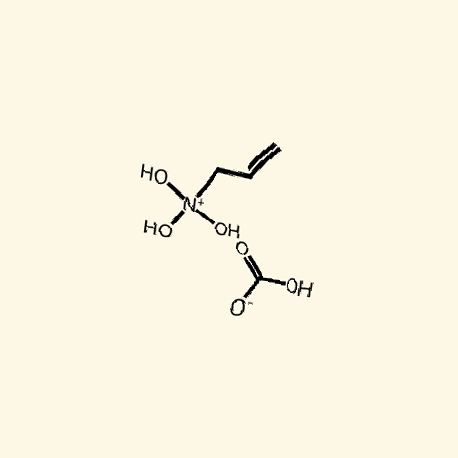 C=CC[N+](O)(O)O.O=C([O-])O